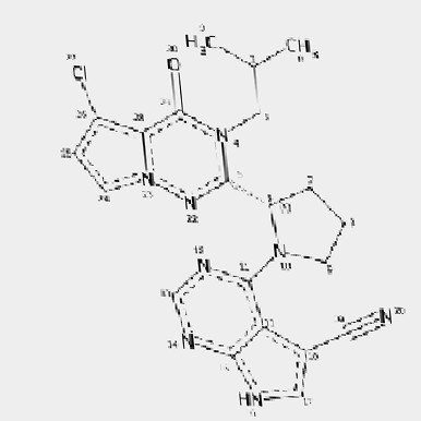 CC(C)Cn1c([C@@H]2CCCN2c2ncnc3[nH]cc(C#N)c23)nn2ccc(Cl)c2c1=O